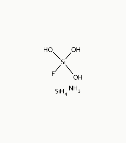 N.O[Si](O)(O)F.[SiH4]